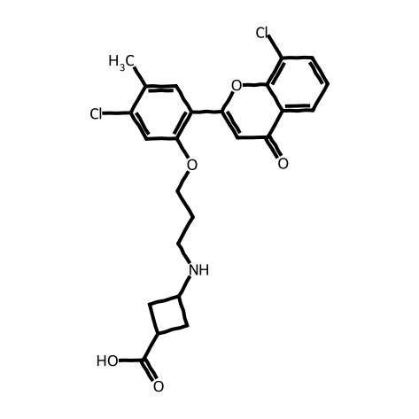 Cc1cc(-c2cc(=O)c3cccc(Cl)c3o2)c(OCCCNC2CC(C(=O)O)C2)cc1Cl